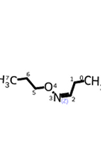 CC/C=N\OCCC